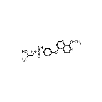 COc1nccc2c(Oc3ccc([S@](=N)(=O)NC[C@@H](C)O)cc3)ccnc12